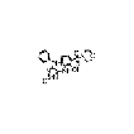 O=S(=O)(c1cccc(Nc2n[s+]([O-])nc2Nc2ccccc2)c1O)N1CCOCC1